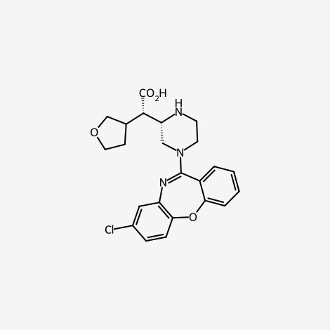 O=C(O)[C@@H](C1CCOC1)[C@H]1CN(C2=Nc3cc(Cl)ccc3Oc3ccccc32)CCN1